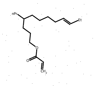 C=CC(=O)OCCCC(CCC)CCCCC=CCC